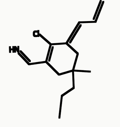 C=C/C=C1\CC(C)(CCC)CC(C=N)=C1Cl